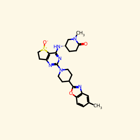 Cc1ccc2oc(C3CCN(c4nc5c(c(N[C@H]6CCC(=O)N(C)C6)n4)[S+]([O-])CC5)CC3)nc2c1